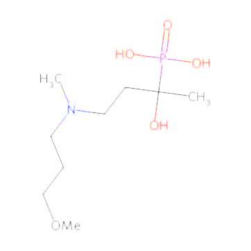 COCCCN(C)CCC(C)(O)P(=O)(O)O